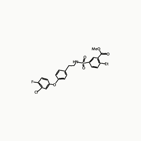 CCc1ccc(S(=O)(=O)NCCc2ccc(Oc3ccc(F)c(Cl)c3)cc2)cc1C(=O)OC